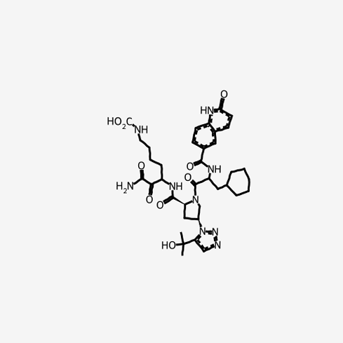 CC(C)(O)c1cnnn1[C@H]1C[C@@H](C(=O)NC(CCCCNC(=O)O)C(=O)C(N)=O)N(C(=O)C(CC2CCCCC2)NC(=O)c2ccc3[nH]c(=O)ccc3c2)C1